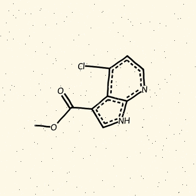 COC(=O)c1c[nH]c2nccc(Cl)c12